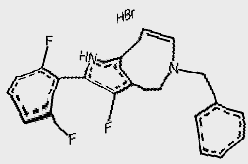 Br.Fc1cccc(F)c1-c1[nH]c2c(c1F)CN(Cc1ccccc1)C=C2